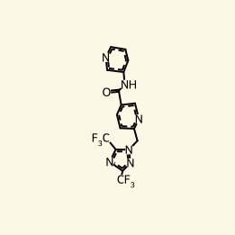 O=C(Nc1cccnc1)c1ccc(Cn2nc(C(F)(F)F)nc2C(F)(F)F)nc1